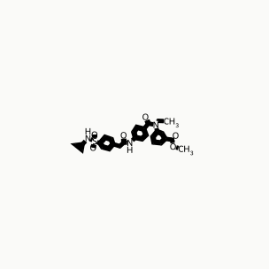 CCN(C(=O)c1ccc(NC(=O)Cc2ccc(S(=O)(=O)NC3CC3)cc2)cc1)c1cccc(C(=O)OC)c1